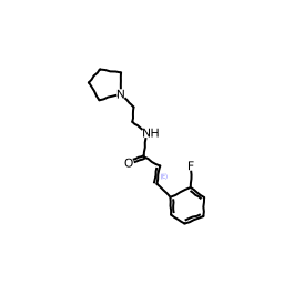 O=C(/C=C/c1ccccc1F)NCCN1CCCC1